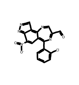 O=Cc1cnc2c(cc([N+](=O)[O-])c3nncc32)c(-c2ccccc2Cl)n1